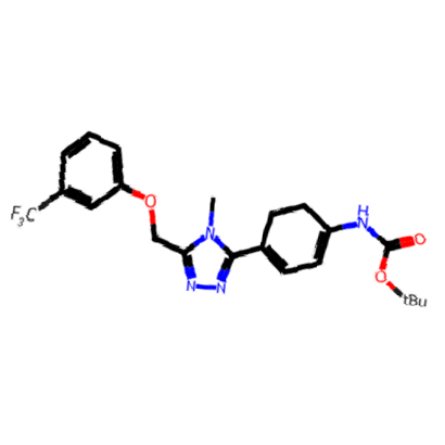 Cn1c(COc2cccc(C(F)(F)F)c2)nnc1C1=CC=C(NC(=O)OC(C)(C)C)CC1